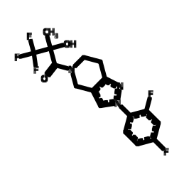 CC(O)(C(=O)N1CCc2nn(-c3ccc(F)cc3F)cc2C1)C(F)(F)F